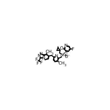 Cc1ccc(Cc2ccn3c(C(F)(F)F)nnc3c2C)nc1CN1CC2(CC2)Oc2ncc(F)cc2[S+]1[O-]